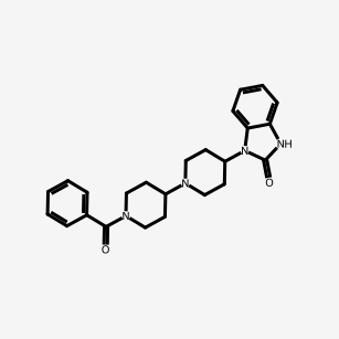 O=C(c1ccccc1)N1CCC(N2CCC(n3c(=O)[nH]c4ccccc43)CC2)CC1